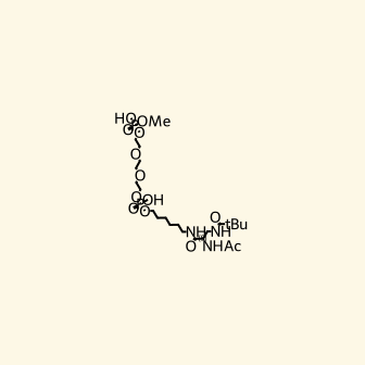 COP(=O)(O)OCCOCCOCCOP(=O)(O)OCCCCCCNC(=O)[C@H](CNC(=O)C(C)(C)C)NC(C)=O